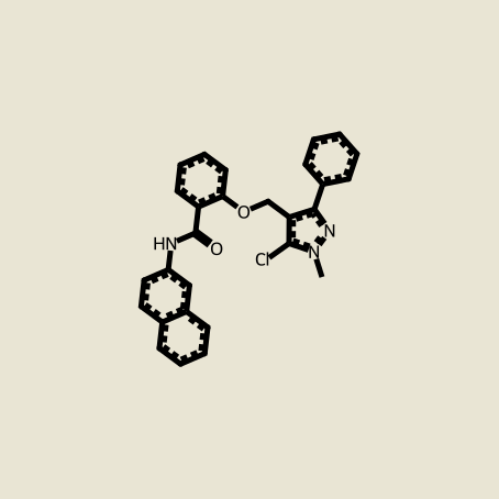 Cn1nc(-c2ccccc2)c(COc2ccccc2C(=O)Nc2ccc3ccccc3c2)c1Cl